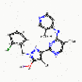 CCc1c(-c2ncc(OC)c(Nc3ccncc3C(=O)O)n2)nn(Cc2ccccc2F)c1OI